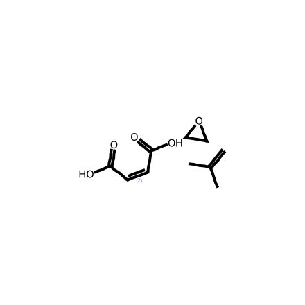 C1CO1.C=C(C)C.O=C(O)/C=C\C(=O)O